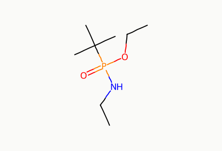 CCNP(=O)(OCC)C(C)(C)C